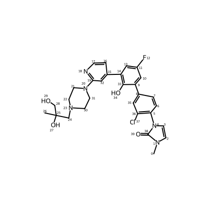 Cn1ccn(-c2ccc(-c3cc(F)cc(-c4ccnc(N5CCN(CC(C)(O)CO)CC5)c4)c3O)cc2Cl)c1=O